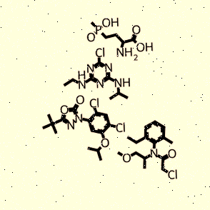 CC(C)Oc1cc(-n2nc(C(C)(C)C)oc2=O)c(Cl)cc1Cl.CCNc1nc(Cl)nc(NC(C)C)n1.CCc1cccc(C)c1N(C(=O)CCl)C(C)COC.CP(=O)(O)CCC(N)C(=O)O